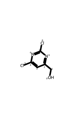 OCc1cc(Cl)nc(Cl)n1